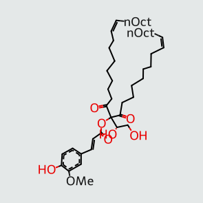 CCCCCCCC/C=C\CCCCCCCC(=O)C(OC(=O)C=Cc1ccc(O)c(OC)c1)(C(=O)CCCCCCC/C=C\CCCCCCCC)[C@@H](O)CO